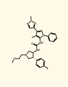 COCCN1C[C@@H](NC(=O)Nc2c(C)c(-c3cnn(C)n3)nn2-c2ccccc2)[C@H](c2ccc(F)cc2)C1